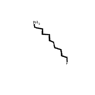 FCCCCCCCCCCP